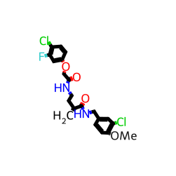 C=C(CCNC(=O)COc1ccc(Cl)c(F)c1)C(=O)NCc1ccc(OC)c(Cl)c1